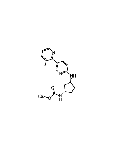 CC(C)(C)OC(=O)N[C@H]1CC[C@H](Nc2ccc(-c3ncccc3F)cn2)C1